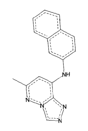 Cc1cc(Nc2ccc3ccccc3c2)c2nncn2n1